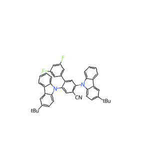 CC(C)(C)c1ccc2c(c1)c1ccccc1n2-c1cc(-c2cc(F)cc(F)c2)c(-n2c3ccccc3c3cc(C(C)(C)C)ccc32)cc1C#N